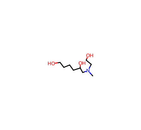 CN(CCO)CC(O)CCCCO